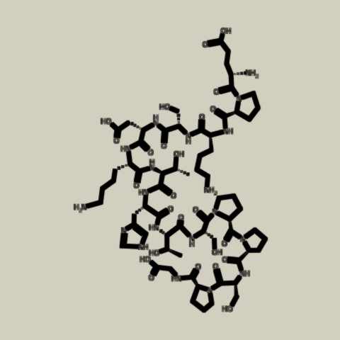 C[C@@H](O)[C@H](NC(=O)[C@H](CCCCN)NC(=O)[C@H](CC(=O)O)NC(=O)[C@H](CO)NC(=O)[C@H](CCCCN)NC(=O)[C@@H]1CCCN1C(=O)[C@@H](N)CCC(=O)O)C(=O)N[C@@H](Cc1c[nH]cn1)C(=O)N[C@H](C(=O)N[C@@H](CO)C(=O)N1CCC[C@H]1C(=O)N1CCC[C@H]1C(=O)N[C@@H](CO)C(=O)N1CCC[C@H]1C(=O)NCC(=O)O)[C@@H](C)O